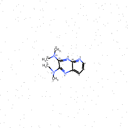 CN(C)c1nc2cccnc2nc1N(C)C